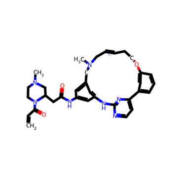 C=CC(=O)N1CCN(C)CC1CC(=O)Nc1cc2cc(c1)Nc1nccc(n1)-c1cccc(c1)OCC/C=C/CN(C)C2